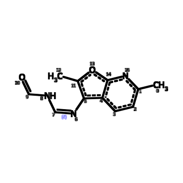 Cc1ccc2c(/N=C\NC=O)c(C)oc2n1